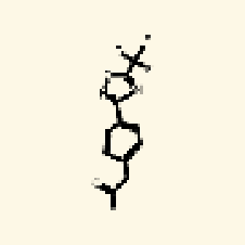 CC(=O)Cc1ccc(-c2noc(C(F)(F)F)n2)cc1